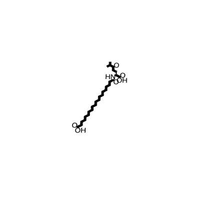 CC(C)C(=O)CC[C@H](NC(=O)CCCCCCCCCCCCCCCCCCC(=O)O)C(=O)O